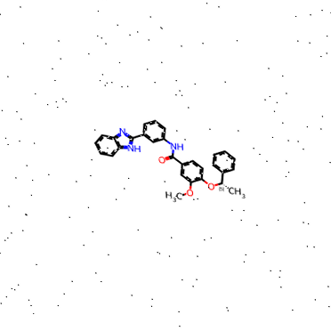 COc1cc(C(=O)Nc2cccc(-c3nc4ccccc4[nH]3)c2)ccc1O[C@@H](C)c1ccccc1